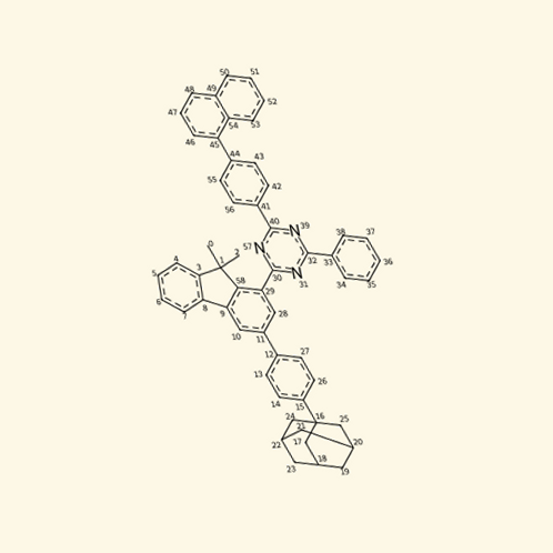 CC1(C)c2ccccc2-c2cc(-c3ccc(C45CC6CC(CC(C6)C4)C5)cc3)cc(-c3nc(-c4ccccc4)nc(-c4ccc(-c5cccc6ccccc56)cc4)n3)c21